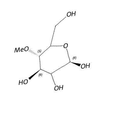 CO[C@@H]1C(CO)O[C@@H](O)C(O)[C@H]1O